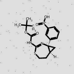 CC(C)(C)OC(=O)NC1=N[C@@]2(c3cccc([N+](=O)O)c3)C[C@H]2CCS1